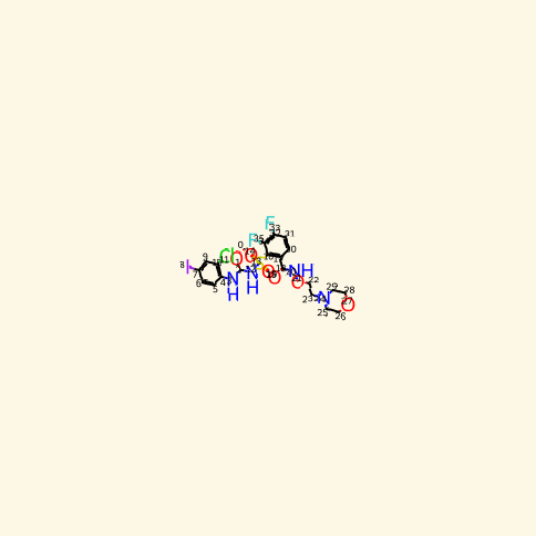 COC(Nc1ccc(I)cc1Cl)NS(=O)(=O)c1c(C(=O)NOCCN2CCOCC2)ccc(F)c1F